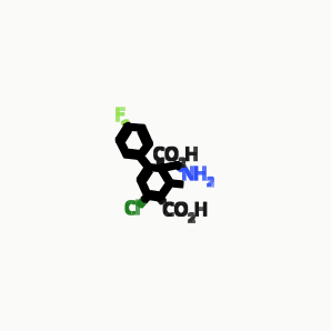 CC1C(C(=O)O)=C(Cl)C=C(c2ccc(F)cc2)C1(CN)C(=O)O